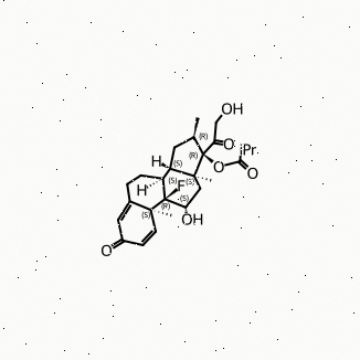 CC(C)C(=O)O[C@]1(C(=O)CO)[C@H](C)C[C@H]2[C@@H]3CCC4=CC(=O)C=C[C@]4(C)[C@@]3(F)[C@@H](O)C[C@@]21C